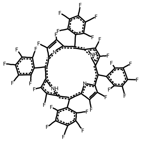 FC1=C(F)c2nc1c(-c1c(F)c(F)c(F)c(F)c1F)c1[nH]c(c(F)c1F)c(-c1c(F)c(F)c(F)c(F)c1F)c1nc(c(-c3c(F)c(F)c(F)c(F)c3F)c3[nH]c(c(F)c3F)c2-c2c(F)c(F)c(F)c(F)c2F)C(F)=C1F